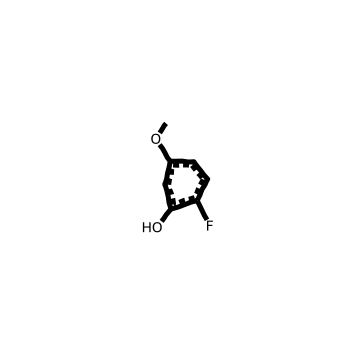 COc1ccc(F)c(O)c1